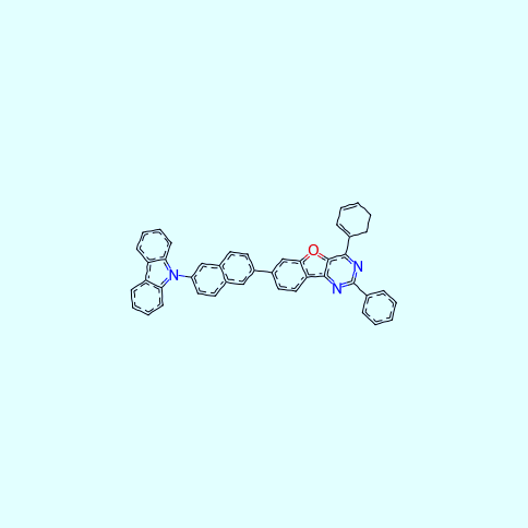 C1=CCCC(c2nc(-c3ccccc3)nc3c2oc2cc(-c4ccc5cc(-n6c7ccccc7c7ccccc76)ccc5c4)ccc23)=C1